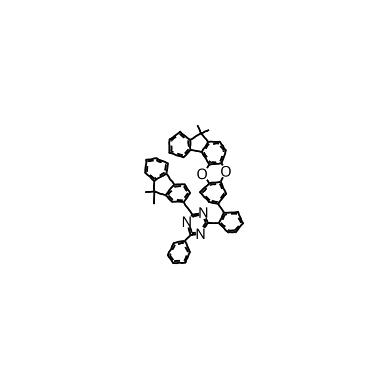 CC1(C)c2ccccc2-c2ccc(-c3nc(-c4ccccc4)nc(-c4ccccc4-c4ccc5c(c4)Oc4ccc6c(c4O5)-c4ccccc4C6(C)C)n3)cc21